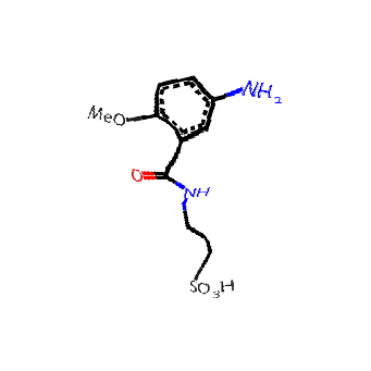 COc1ccc(N)cc1C(=O)NCCS(=O)(=O)O